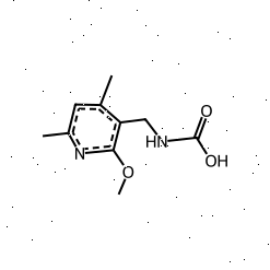 COc1nc(C)cc(C)c1CNC(=O)O